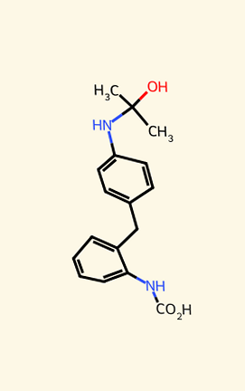 CC(C)(O)Nc1ccc(Cc2ccccc2NC(=O)O)cc1